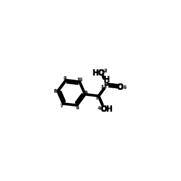 O=[PH](O)C(O)c1ccccc1